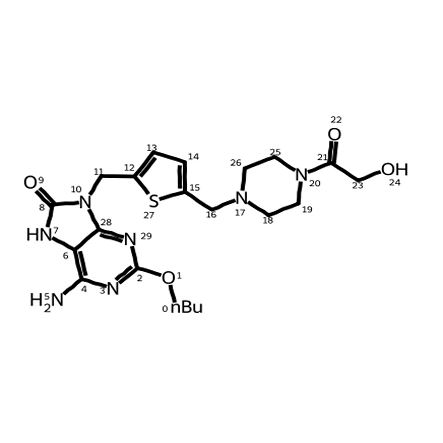 CCCCOc1nc(N)c2[nH]c(=O)n(Cc3ccc(CN4CCN(C(=O)CO)CC4)s3)c2n1